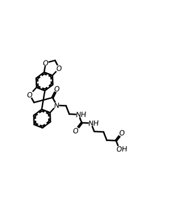 O=C(O)CCCNC(=O)NCCN1C(=O)C2(COc3cc4c(cc32)OCO4)c2ccccc21